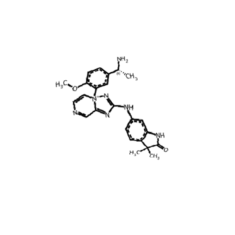 COc1ccc([C@@H](C)N)cc1[N+]12C=CN=CC1=NC(Nc1ccc3c(c1)NC(=O)C3(C)C)=N2